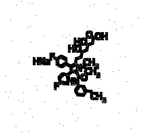 CCc1cccc(NC(=O)c2c(-c3ccc(F)cc3)c(-c3ccc(F)cc3)c(CC[C@@H](O)C[C@@H](O)CC(=O)O)n2C(C)C)c1.[NaH]